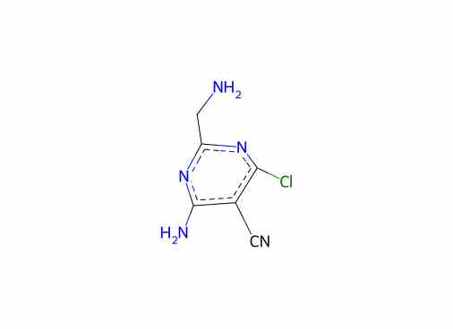 N#Cc1c(N)nc(CN)nc1Cl